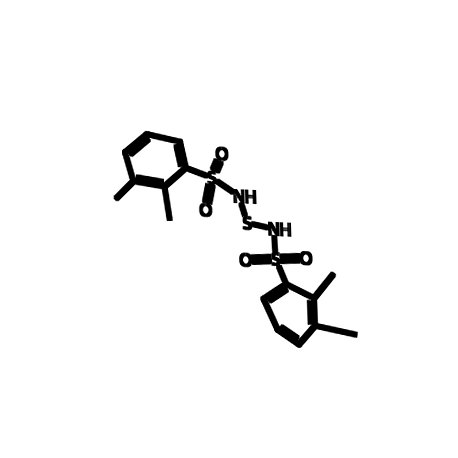 Cc1cccc(S(=O)(=O)NSNS(=O)(=O)c2cccc(C)c2C)c1C